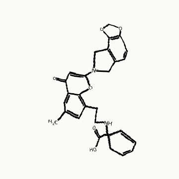 Cc1cc(CCNC2(C(=O)O)C=CC=CC2)c2oc(N3Cc4ccc5c(c4C3)OCO5)cc(=O)c2c1